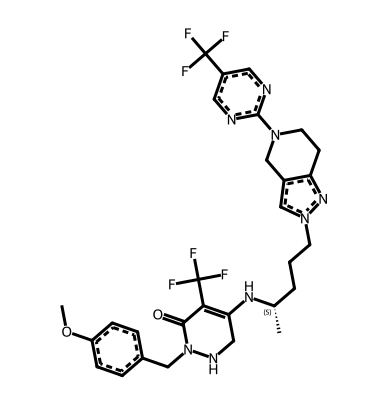 COc1ccc(CN2NCC(N[C@@H](C)CCCn3cc4c(n3)CCN(c3ncc(C(F)(F)F)cn3)C4)=C(C(F)(F)F)C2=O)cc1